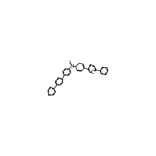 IN(c1ccc(-c2ccc(-c3ccccc3)cc2)cc1)C1C=CC(c2ccc(-c3ccccc3)cc2)=CC1